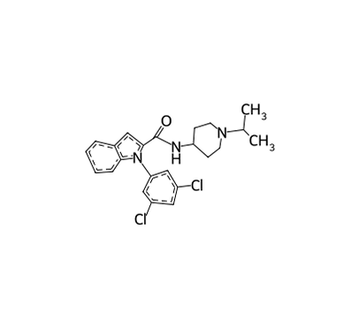 CC(C)N1CCC(NC(=O)c2cc3ccccc3n2-c2cc(Cl)cc(Cl)c2)CC1